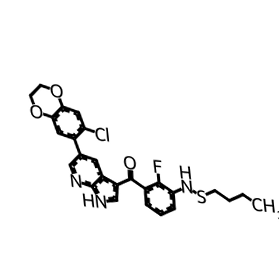 CCCCSNc1cccc(C(=O)c2c[nH]c3ncc(-c4cc5c(cc4Cl)OCCO5)cc23)c1F